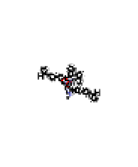 C/C=C(\C=C/C/C=C(\C=C(/C)c1cccc2ccccc12)N(c1ccc(-c2ccc(Nc3ccccc3)cc2)cc1)c1ccc2ccccc2c1)N(c1ccc(-c2ccc(Nc3ccccc3)cc2)cc1)c1ccc2ccccc2c1